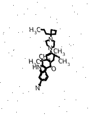 CCCC1(N2CCN(C3=CC4=C(C[C@]3(C)CC)C(=O)c3c([nH]c5cc(C#N)ccc35)C4(C)C)CC2)CCC1